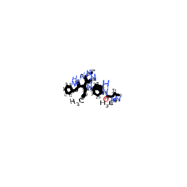 CC#Cc1c(-c2cnc3ccccc3c2)c2c(N)ncnc2n1C12CCC(NC(=O)c3ccnn3C)(CC1)C2